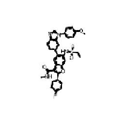 CCS(=O)(=O)Nc1cc2oc(-c3ccc(F)cc3)c(C(=O)NC)c2cc1-c1ccc2ncn(-c3ccc(OC)cc3)c2c1